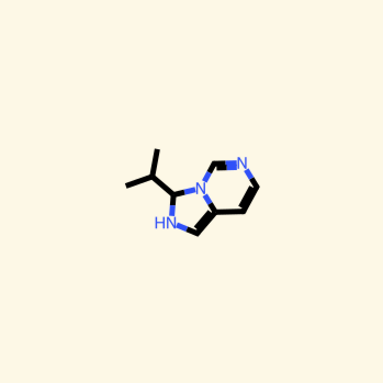 CC(C)C1NC=C2C=CN=CN21